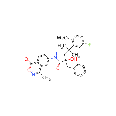 COc1ccc(F)cc1C(C)(C)CC(O)(Cc1ccccc1)C(=O)Nc1ccc2c(=O)onc(C)c2c1